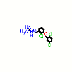 N=C(N)N/N=C/c1cccc(OCc2cc(Cl)ccc2Cl)c1Cl